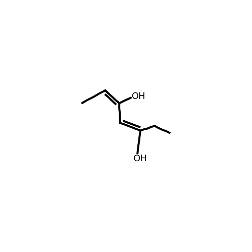 C/C=C(O)\C=C(\O)CC